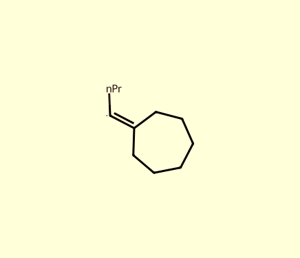 CCC[C]=C1CCCCCC1